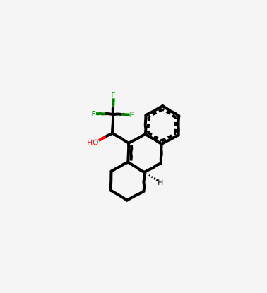 OC(C1=C2CCCC[C@@H]2Cc2ccccc21)C(F)(F)F